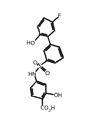 O=C(O)c1ccc(NS(=O)(=O)c2cccc(-c3cc(F)ccc3O)c2)cc1O